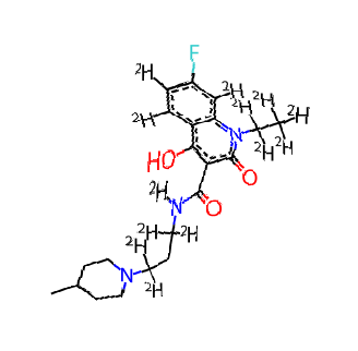 [2H]c1c(F)c([2H])c2c(c1[2H])c(O)c(C(=O)N([2H])C([2H])([2H])CC([2H])([2H])N1CCC(C)CC1)c(=O)n2C([2H])([2H])C([2H])([2H])[2H]